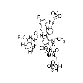 C[C@@H](CNC(=O)N(c1nn(CC(F)(F)F)c2c(-c3ccc(C#CC(C)(C)S(C)(=O)=O)nc3[C@H](Cc3cc(F)cc(F)c3)NC(=O)Cn3nc(C(F)(F)F)c4c3C(F)(F)[C@@H]3C[C@H]43)ccc(Cl)c12)S(C)(=O)=O)OP(=O)(O)O